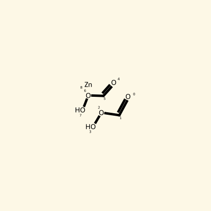 O=COO.O=COO.[Zn]